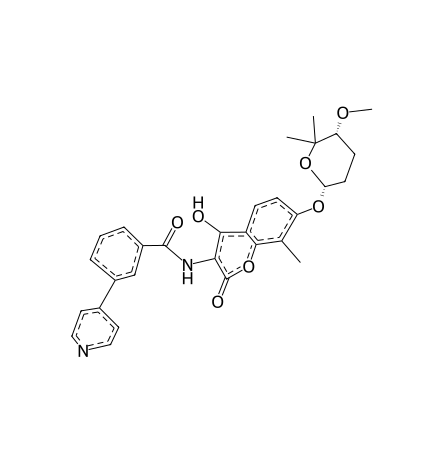 CO[C@@H]1CC[C@H](Oc2ccc3c(O)c(NC(=O)c4cccc(-c5ccncc5)c4)c(=O)oc3c2C)OC1(C)C